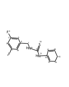 Fc1cc(F)cc(CNC(=S)NC2=CC[CH]C=C2)c1